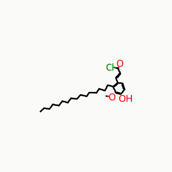 CCCCCCCCCCCCCCCCc1c(C=CC(=O)Cl)ccc(O)c1OC